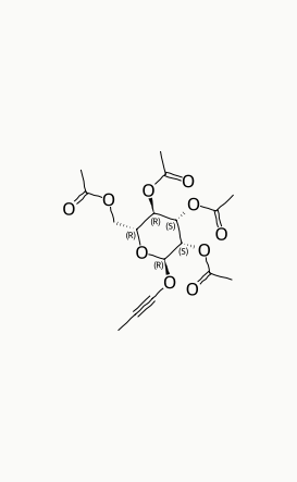 CC#CO[C@H]1O[C@H](COC(C)=O)[C@@H](OC(C)=O)[C@H](OC(C)=O)[C@@H]1OC(C)=O